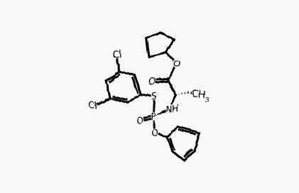 C[C@H](N[P@](=O)(Oc1ccccc1)Sc1cc(Cl)cc(Cl)c1)C(=O)OC1CCCC1